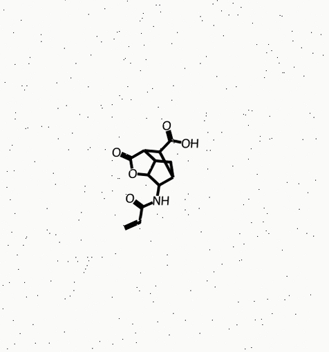 C=CC(=O)NC1C2CC3C1OC(=O)C3C2C(=O)O